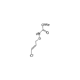 COC(=O)NOCC=CCl